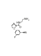 N#Cc1cc(F)cc([C@@H]2CC=NN2C(=O)NCCN)c1